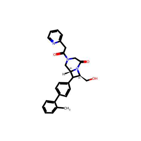 Cc1ccccc1-c1ccc(C2[C@H](CO)N3C(=O)CN(C(=O)Cc4ccccn4)C[C@@H]23)cc1